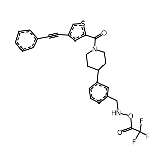 O=C(c1cc(C#Cc2ccccc2)cs1)N1CCC(c2cccc(CNOC(=O)C(F)(F)F)c2)CC1